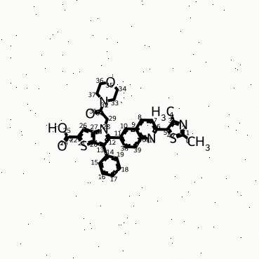 Cc1nc(C)c(-c2ccc3cc(-c4c(-c5ccccc5)c5sc(C(=O)O)cc5n4CC(=O)N4CCOCC4)ccc3n2)s1